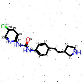 O=C(NC1=CCC(CCC2CCNC2)C=C1)NC1=CCC(Cl)C=N1